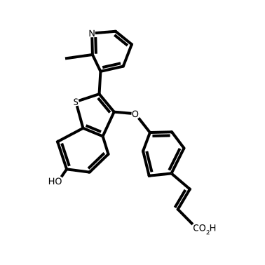 Cc1ncccc1-c1sc2cc(O)ccc2c1Oc1ccc(C=CC(=O)O)cc1